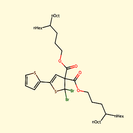 CCCCCCCCC(CCCCCC)CCCOC(=O)C1(C(=O)OCCCC(CCCCCC)CCCCCCCC)C=C(c2cccs2)SC1(Br)Br